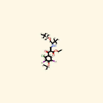 CCOC(=O)C(=CNC(CO[Si](C)(C)C(C)(C)C)C(C)(C)C)C(=O)c1cc(I)c(OC(C)C)c(I)c1Cl